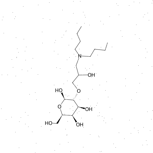 CCCCN(CCCC)CC(O)CO[C@@H]1[C@@H](O)[C@@H](O)[C@@H](CO)O[C@H]1O